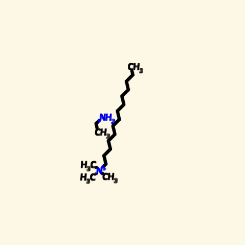 CCCCCCCCCCCCCC[N+](C)(C)C.CCN